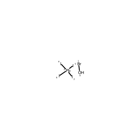 OBr.[I][Pb]([I])([I])[I]